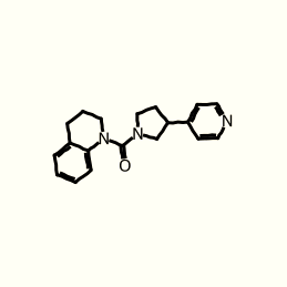 O=C(N1CCC(c2ccncc2)C1)N1CCCc2ccccc21